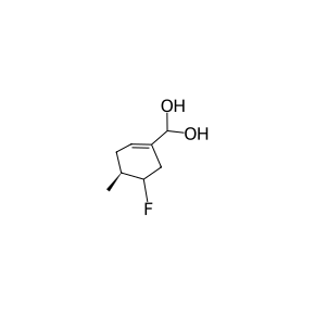 C[C@H]1CC=C(C(O)O)CC1F